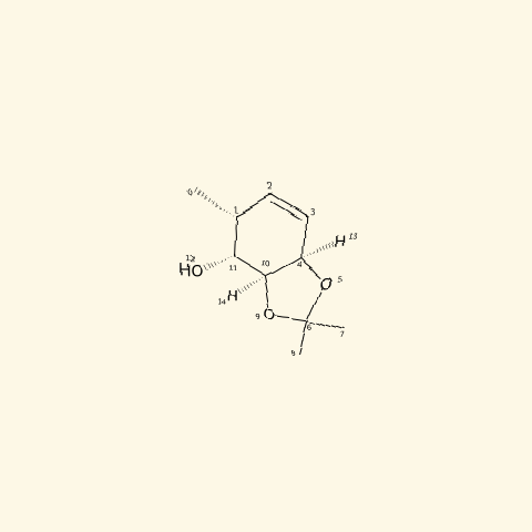 C[C@@H]1C=C[C@H]2OC(C)(C)O[C@H]2[C@@H]1O